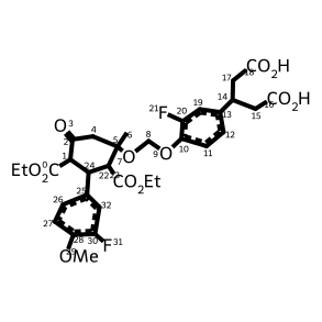 CCOC(=O)C1C(=O)CC(C)(OCOc2ccc(C(CC(=O)O)CC(=O)O)cc2F)C(C(=O)OCC)C1c1ccc(OC)c(F)c1